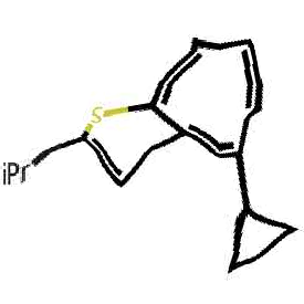 CC(C)c1cc2c(C3CC3)cccc2s1